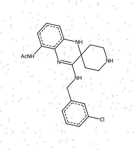 CC(=O)Nc1cccc2c1N=C(NCc1cccc(Cl)c1)C1(CCNCC1)N2